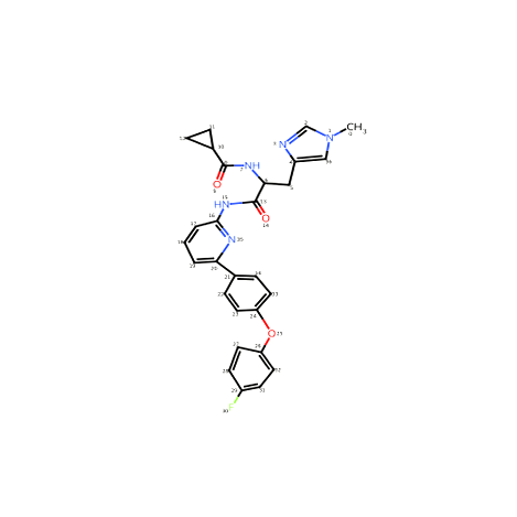 Cn1cnc(CC(NC(=O)C2CC2)C(=O)Nc2cccc(-c3ccc(Oc4ccc(F)cc4)cc3)n2)c1